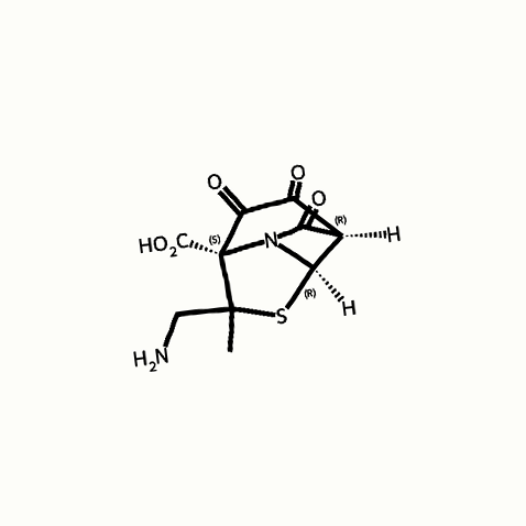 CC1(CN)S[C@@H]2[C@@H]3C(=O)C(=O)[C@@]1(C(=O)O)N2C3=O